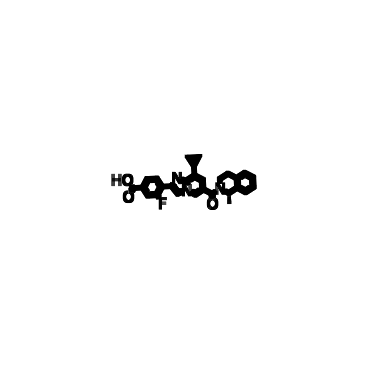 C[C@@H]1c2ccccc2CCN1C(=O)c1cc(C2CC2)c2nc(-c3ccc(C(=O)O)cc3F)cn2c1